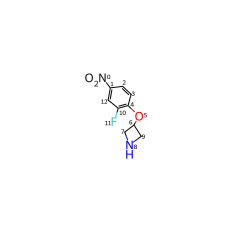 O=[N+]([O-])c1ccc(OC2CNC2)c(F)c1